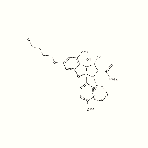 COC(=O)C1C(O)C2(O)c3c(OC)cc(OCCCCCl)cc3OC2(c2ccc(OC)cc2)C1c1ccccc1